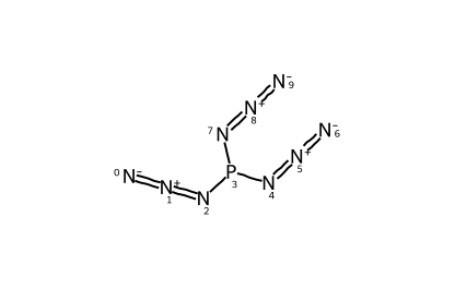 [N-]=[N+]=NP(N=[N+]=[N-])N=[N+]=[N-]